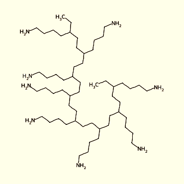 CCC(CCCCN)CCC(CCCCN)CCC(CCCCN)CCC(CCCCN)CCC(CCCCN)CCC(CCCCN)CCC(CCCCN)CCC(CC)CCCCN